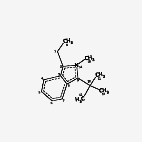 CCc1c2ccccc2c(C(C)(C)C)n1C